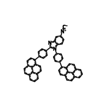 [C-]#[N+]c1ccc2c(c1)nc(-c1ccc(-c3ccc4ccc5cccc6ccc3c4c56)cc1)n2-c1ccc(-c2ccc3ccc4cccc5ccc2c3c45)cc1